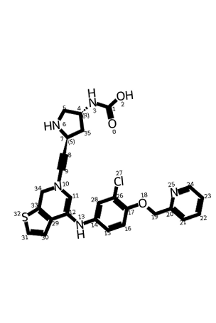 O=C(O)N[C@H]1CN[C@H](C#CN2C=C(Nc3ccc(OCc4ccccn4)c(Cl)c3)c3ccsc3C2)C1